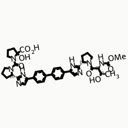 COC(=O)N[C@H](C(=O)N1CCC[C@H]1c1ncc(-c2ccc(-c3ccc(-c4cnc([C@@H]5CCCN5C(=O)N5CCCC5(O)C(=O)O)[nH]4)cc3)cc2)[nH]1)[C@@H](C)O